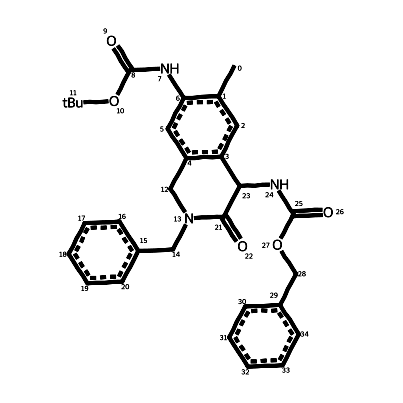 Cc1cc2c(cc1NC(=O)OC(C)(C)C)CN(Cc1ccccc1)C(=O)C2NC(=O)OCc1ccccc1